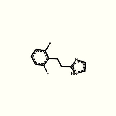 Fc1cccc(F)c1CCc1ncc[nH]1